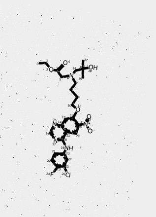 CCOC(=O)CN(CCCCOc1cc2ncnc(Nc3ccc(F)c(Cl)c3)c2cc1[N+](=O)[O-])CC(C)(C)O